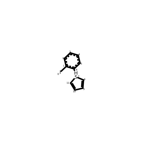 Ic1ccccc1[SH]1C=CC=C1